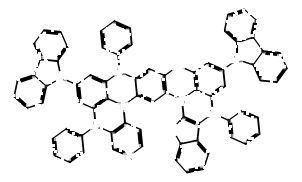 c1ccc(N2c3cnccc3B3c4cc5c(cc4N(c4ccccc4)c4cc(-n6c7ccccc7c7ccccc76)cc2c43)Oc2cc(-n3c4ccccc4c4ccccc43)cc3c2N5c2sc4ccccc4c2N3c2ccccc2)cc1